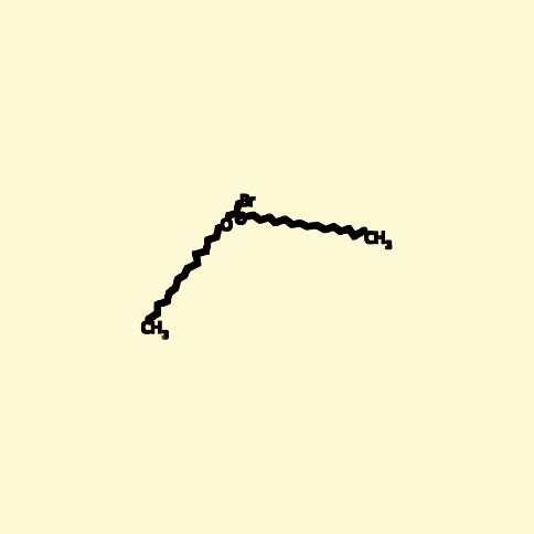 CCCCCCCCCCCCCCCCOCC(CBr)OCCCCCCCCCCCCCCCC